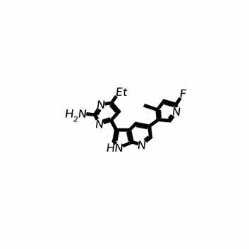 CCc1cc(-c2c[nH]c3ncc(-c4cnc(F)cc4C)cc23)nc(N)n1